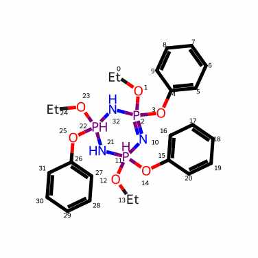 CCOP1(Oc2ccccc2)=N[PH](OCC)(Oc2ccccc2)N[PH](OCC)(Oc2ccccc2)N1